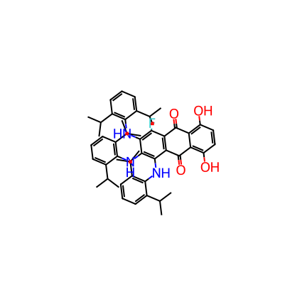 CC(C)c1cccc(C(C)C)c1Nc1c(F)c2c(c(Nc3c(C(C)C)cccc3C(C)C)c1Nc1c(C(C)C)cccc1C(C)C)C(=O)c1c(O)ccc(O)c1C2=O